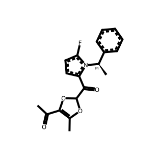 CC(=O)C1=C(C)OC(C(=O)c2ccc(F)n2[C@H](C)c2ccccc2)O1